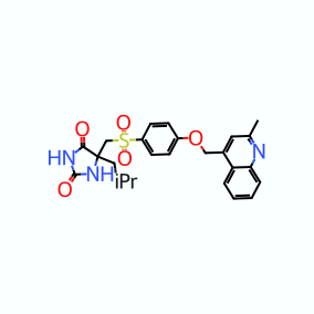 Cc1cc(COc2ccc(S(=O)(=O)CC3(CC(C)C)NC(=O)NC3=O)cc2)c2ccccc2n1